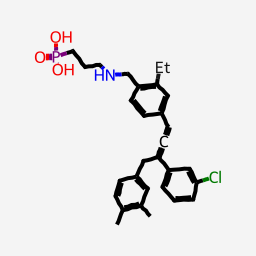 CCc1cc(C=C=C(Cc2ccc(C)c(C)c2)c2cccc(Cl)c2)ccc1CNCCCP(=O)(O)O